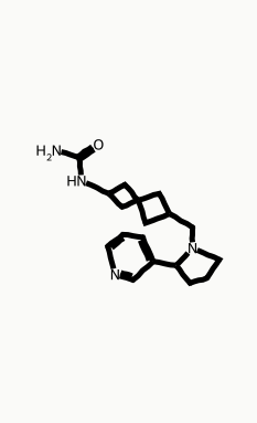 NC(=O)NC1CC2(CC(CN3CCCC3c3cccnc3)C2)C1